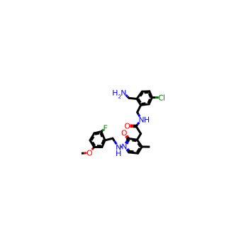 COc1ccc(F)c(CNn2ccc(C)c(CC(=O)NCc3cc(Cl)ccc3CN)c2=O)c1